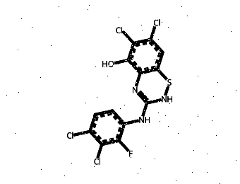 Oc1c(Cl)c(Cl)cc2c1N=C(Nc1ccc(Cl)c(Cl)c1F)NS2